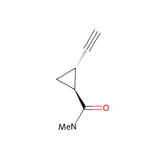 C#C[C@H]1C[C@@H]1C(=O)NC